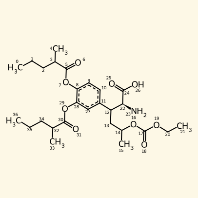 CCCC(C)C(=O)Oc1ccc(C(CC(C)OC(=O)OCC)[C@H](N)C(=O)O)cc1OC(=O)C(C)CCC